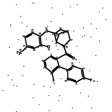 O=C(c1cccc(F)c1-c1ncc(F)cn1)N1CC2CCC1C(Oc1ncc(C(F)(F)F)cc1Cl)C2